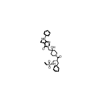 C=CS(=O)(=O)NC[C@H](Cc1ccccc1)C(=O)N1CCC(O)(Cn2cnc3c(cnn3-c3ccccc3)c2=O)CC1